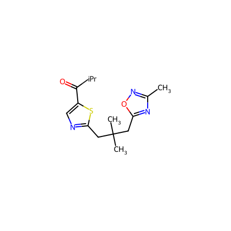 Cc1noc(CC(C)(C)Cc2ncc(C(=O)C(C)C)s2)n1